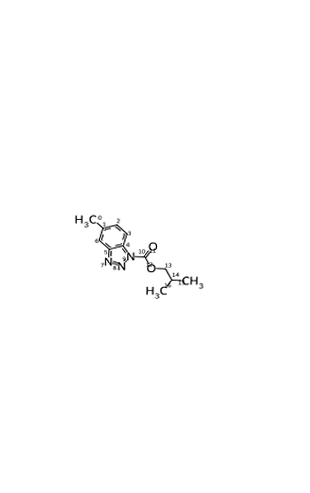 Cc1ccc2c(c1)nnn2C(=O)OCC(C)C